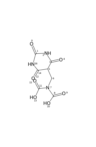 O=C1NC(=O)C(CN(C(=O)O)C(=O)O)C(=O)N1